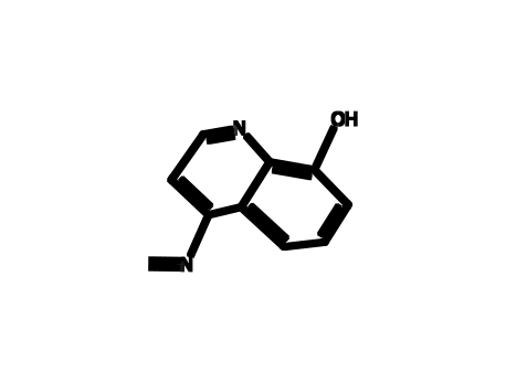 C=Nc1ccnc2c(O)cccc12